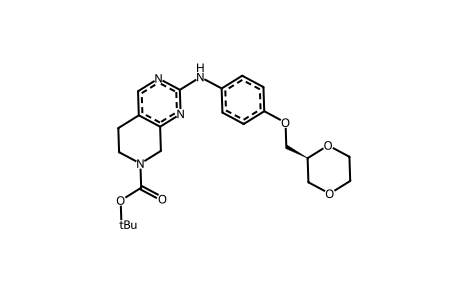 CC(C)(C)OC(=O)N1CCc2cnc(Nc3ccc(OC[C@@H]4COCCO4)cc3)nc2C1